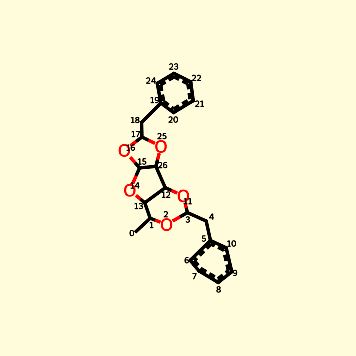 CC1OC(Cc2ccccc2)OC2C1OC1OC(Cc3ccccc3)OC12